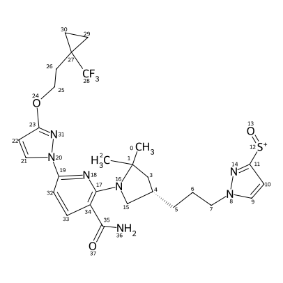 CC1(C)C[C@H](CCCn2ccc([S+]=O)n2)CN1c1nc(-n2ccc(OCCC3(C(F)(F)F)CC3)n2)ccc1C(N)=O